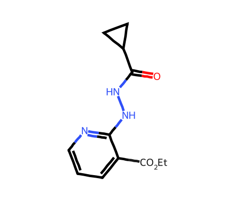 CCOC(=O)c1cccnc1NNC(=O)C1CC1